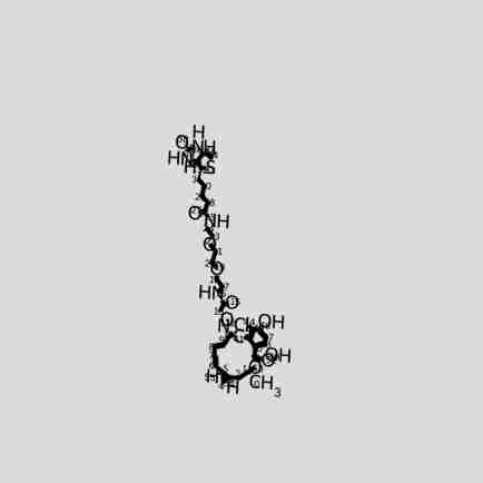 C[C@@H]1C[C@H]2C[C@@H]2/C=C\C=C\C(=NOCC(=O)NCCOCCOCCNC(=O)CCCC[C@@H]2SC[C@@H]3NC(=O)N[C@@H]32)Cc2c(Cl)c(O)cc(O)c2C(=O)O1